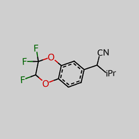 CC(C)C(C#N)c1ccc2c(c1)OC(F)(F)C(F)O2